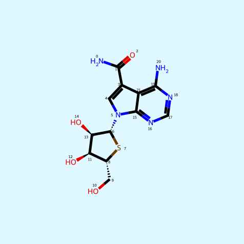 NC(=O)c1cn([C@@H]2S[C@H](CO)[C@@H](O)[C@H]2O)c2ncnc(N)c12